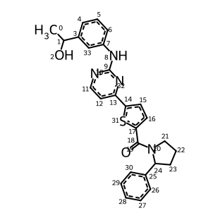 CC(O)c1cccc(Nc2nccc(-c3ccc(C(=O)N4CCCC4c4ccccc4)s3)n2)c1